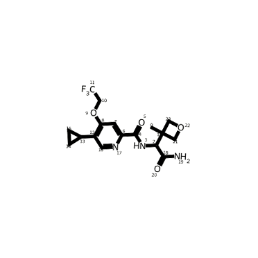 CC1(C(NC(=O)c2cc(OCC(F)(F)F)c(C3CC3)cn2)C(N)=O)COC1